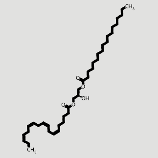 CC/C=C\C/C=C\C/C=C\C/C=C\CCCCC(=O)OC[C@H](O)COC(=O)CCCCCCCCCCCCCCCCC